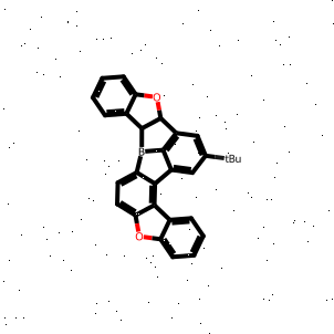 CC(C)(C)c1cc2c3c(c1)C1Oc4ccccc4C1B3c1ccc3oc4ccccc4c3c1-2